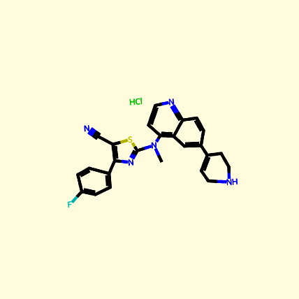 CN(c1nc(-c2ccc(F)cc2)c(C#N)s1)c1ccnc2ccc(C3=CCNCC3)cc12.Cl